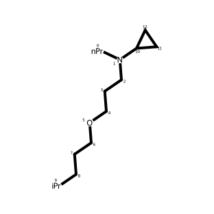 CCCN(CCCOCCCC(C)C)C1CC1